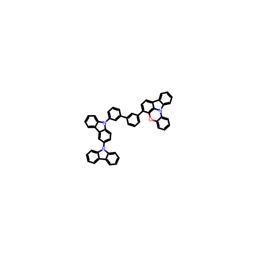 c1cc(-c2cccc(-n3c4ccccc4c4cc(-n5c6ccccc6c6ccccc65)ccc43)c2)cc(-c2ccc3c4ccccc4n4c3c2Oc2ccccc2-4)c1